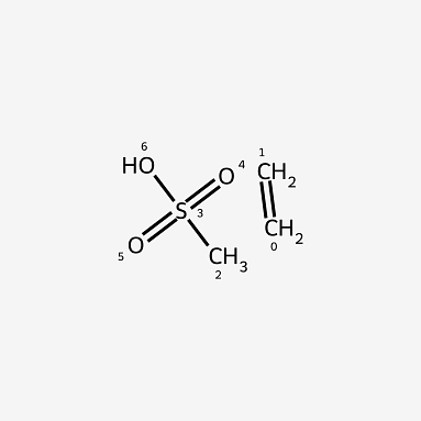 C=C.CS(=O)(=O)O